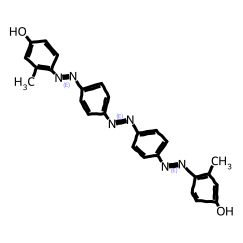 Cc1cc(O)ccc1/N=N/c1ccc(/N=N/c2ccc(/N=N/c3ccc(O)cc3C)cc2)cc1